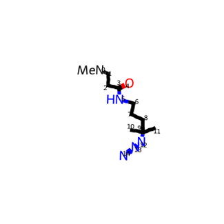 CNCCC(=O)NCCCC(C)(C)N=[N+]=[N-]